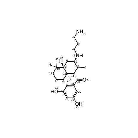 C[C@@H]1[C@H](NCCCN)C[C@H]2C(C)(C)CCC[C@]2(C)[C@H]1C(=O)c1cc(O)cc(O)c1